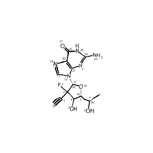 C#CC1(F)C(O)[C@@H]([C@@H](C)O)O[C@H]1n1cnc2c(=O)[nH]c(N)nc21